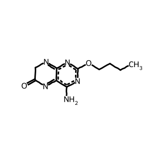 CCCCOc1nc(N)c2c(n1)=NCC(=O)N=2